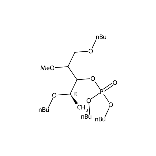 CCCCOCC(OC)C(OP(=O)(OCCCC)OCCCC)[C@@H](C)OCCCC